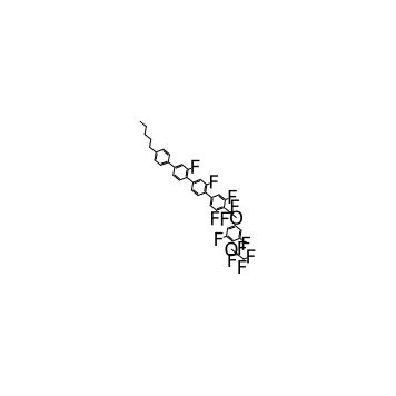 CCCCCc1ccc(-c2ccc(-c3ccc(-c4cc(F)c(C(F)(F)Oc5cc(F)c(OC(F)(F)C(F)F)c(F)c5)c(F)c4)c(F)c3)c(F)c2)cc1